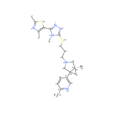 Cc1nc(C)c(-c2nnc(SCCCN3C[C@H]4CC4(c4ccc(C(F)(F)F)nc4)C3)n2C)s1